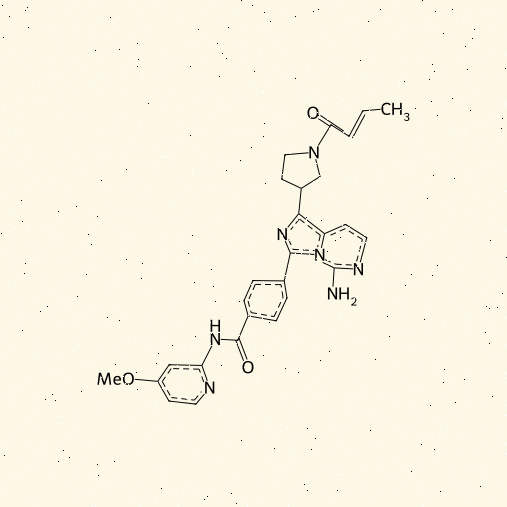 C/C=C/C(=O)N1CCC(c2nc(-c3ccc(C(=O)Nc4cc(OC)ccn4)cc3)n3c(N)nccc23)C1